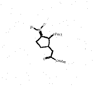 CCCCCC1C(=[N+]([O-])C(C)C)CCC1CC(=O)OC